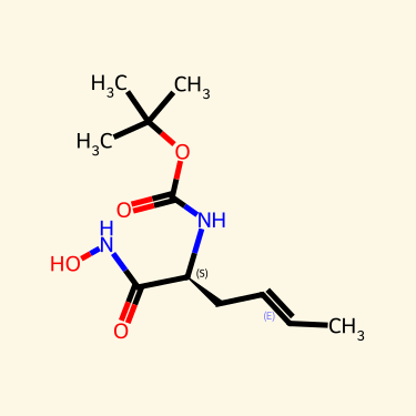 C/C=C/C[C@H](NC(=O)OC(C)(C)C)C(=O)NO